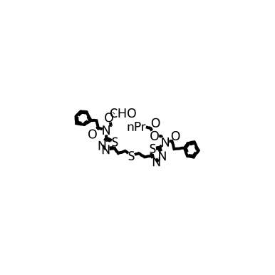 CCCC(=O)OCN(C(=O)Cc1ccccc1)c1nnc(CCSCCc2nnc(N(COC=O)C(=O)Cc3ccccc3)s2)s1